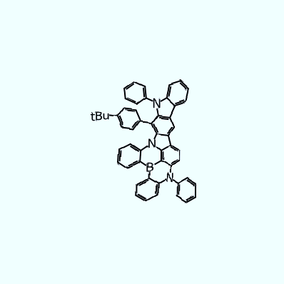 CC(C)(C)c1ccc(-c2c3c(cc4c5ccc6c7c5n(c24)-c2ccccc2B7c2ccccc2N6c2ccccc2)c2ccccc2n3-c2ccccc2)cc1